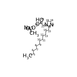 CC(=O)[O-].CCCCCCCCCCCCC1=NCCN1CC(=O)O.[Na+]